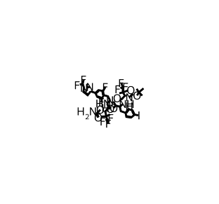 CC(C)(C)OC(=O)NC(C(=O)NC(Cc1ccc(I)cc1)C(O)CN(Cc1c(F)cc(-c2ccn(C(F)F)n2)cc1F)NC(=O)C(OC(N)=O)C(C)(C)C(F)(F)F)C(C)(C)C(F)(F)F